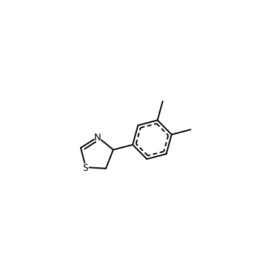 Cc1ccc(C2CSC=N2)cc1C